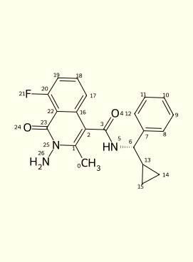 Cc1c(C(=O)N[C@H](c2ccccc2)C2CC2)c2cccc(F)c2c(=O)n1N